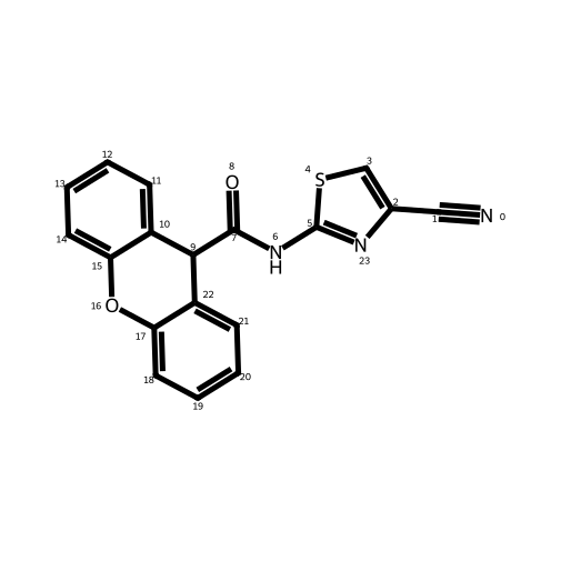 N#Cc1csc(NC(=O)C2c3ccccc3Oc3ccccc32)n1